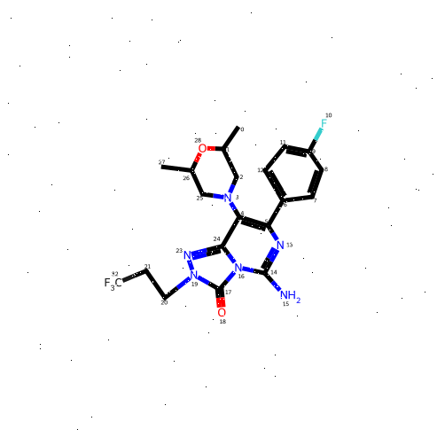 CC1CN(c2c(-c3ccc(F)cc3)nc(N)n3c(=O)n(CCC(F)(F)F)nc23)CC(C)O1